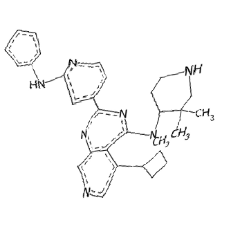 CN(c1nc(-c2ccnc(Nc3ccccc3)c2)nc2cncc(C3CCC3)c12)C1CCNCC1(C)C